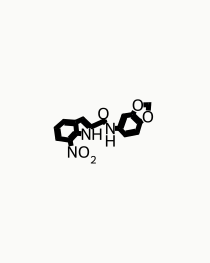 O=C(Nc1ccc2c(c1)OCO2)c1cc2cccc([N+](=O)[O-])c2[nH]1